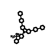 CC1(C)c2ccccc2-c2ccc(-n3c4ccc(-c5ccc(-c6ccccc6)cc5)cc4c4cc(-c5ccc(-c6ccccc6)cc5)ccc43)cc21